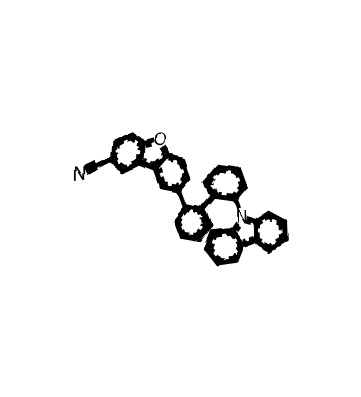 N#Cc1ccc2oc3ccc(-c4ccccc4-c4ccccc4-n4c5ccccc5c5ccccc54)cc3c2c1